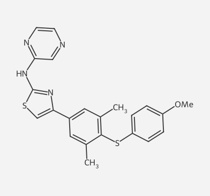 COc1ccc(Sc2c(C)cc(-c3csc(Nc4cnccn4)n3)cc2C)cc1